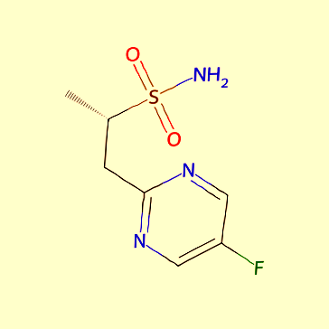 C[C@@H](Cc1ncc(F)cn1)S(N)(=O)=O